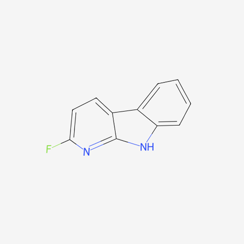 Fc1ccc2c(n1)[nH]c1ccccc12